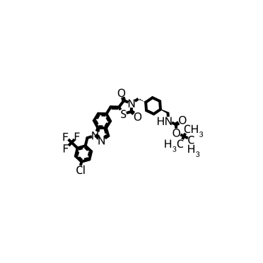 CC(C)(C)OC(=O)NC[C@H]1CC[C@H](CN2C(=O)SC(=Cc3ccc4c(cnn4Cc4ccc(Cl)cc4C(F)(F)F)c3)C2=O)CC1